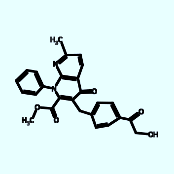 COC(=O)c1c(Cc2ccc(C(=O)CO)cc2)c(=O)c2ccc(C)nc2n1-c1ccccc1